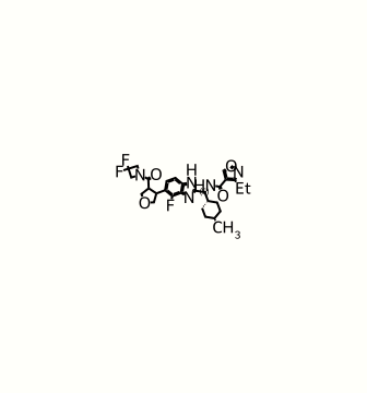 CCc1nocc1C(=O)N[C@H](c1nc2c(F)c(C3COCC3C(=O)N3CC(F)(F)C3)ccc2[nH]1)[C@H]1CC[C@H](C)CC1